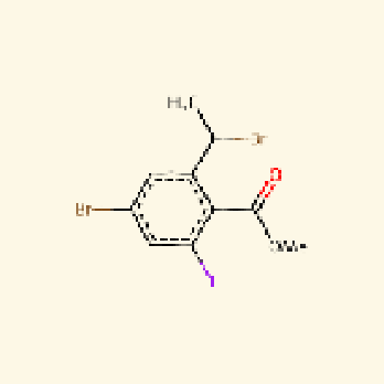 COC(=O)c1c(I)cc(Br)cc1C(C)Br